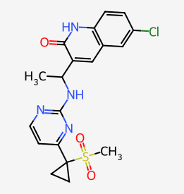 CC(Nc1nccc(C2(S(C)(=O)=O)CC2)n1)c1cc2cc(Cl)ccc2[nH]c1=O